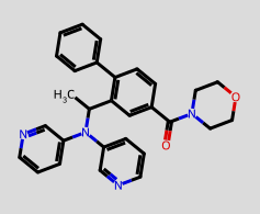 CC(c1cc(C(=O)N2CCOCC2)ccc1-c1ccccc1)N(c1cccnc1)c1cccnc1